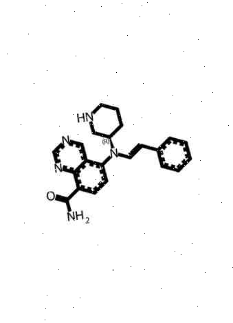 NC(=O)c1ccc(N(C=Cc2ccccc2)[C@@H]2CCCNC2)c2cncnc12